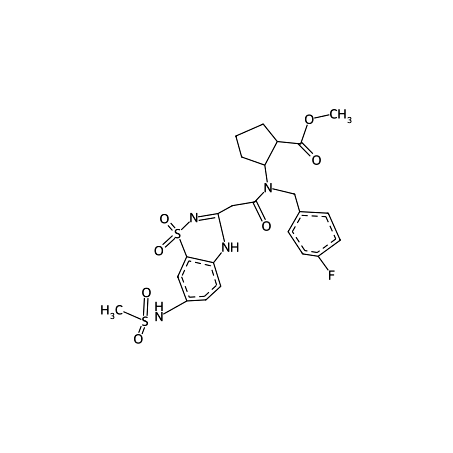 COC(=O)C1CCCC1N(Cc1ccc(F)cc1)C(=O)CC1=NS(=O)(=O)c2cc(NS(C)(=O)=O)ccc2N1